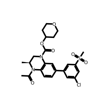 CC(=O)N1c2ccc(-c3cc(Cl)cc(S(C)(=O)=O)c3)cc2N(C(=O)OC2CCOCC2)C[C@@H]1C